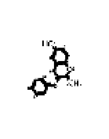 CC1Oc2ccc(O)cc2CC1Sc1ccccc1